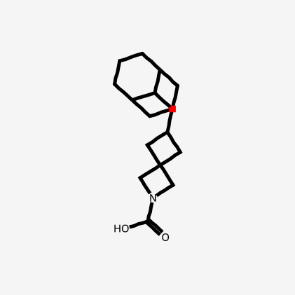 O=C(O)N1CC2(CC(CC3C4CCCC3CCC4)C2)C1